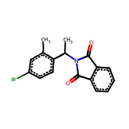 Cc1cc(Br)ccc1C(C)N1C(=O)c2ccccc2C1=O